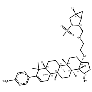 CC(C)[C@@H]1CC[C@]2(NCCNC[C@@H]3C4C[C@H]4CN3S(C)(=O)=O)CC[C@]3(C)[C@H](CC[C@@H]4[C@@]5(C)CC=C(c6ccc(C(=O)O)cc6)C(C)(C)[C@@H]5CC[C@]43C)[C@@H]12